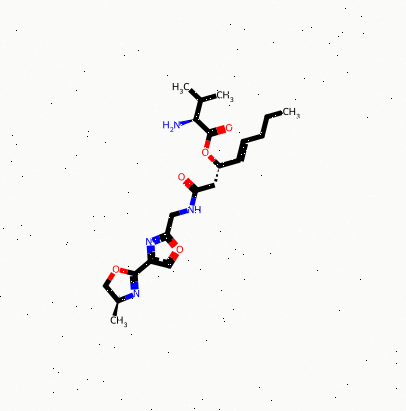 CCC/C=C/[C@H](CC(=O)NCc1nc(C2=N[C@@H](C)CO2)co1)OC(=O)[C@@H](N)C(C)C